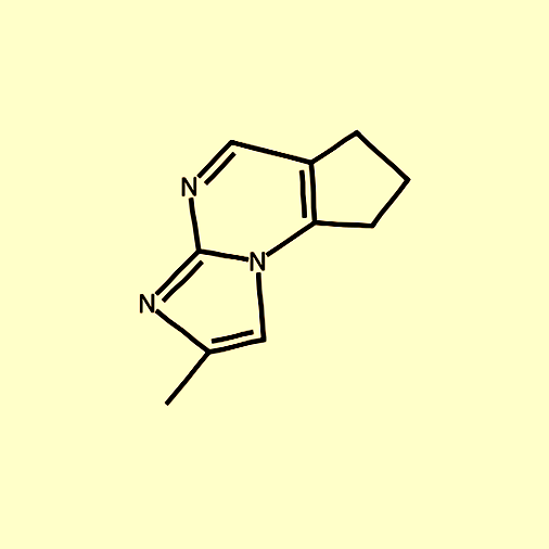 Cc1cn2c3c(cnc2n1)CCC3